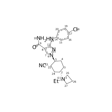 CC[N+]1([C@H]2CC[C@H](n3cc(C(N)=O)c(Nc4ccc(Cl)cc4)n3)[C@@H](C#N)C2)CCC1